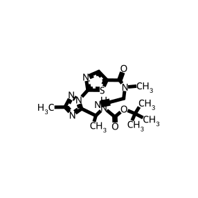 Cc1nc(C(C)NC(=O)OC(C)(C)C)n(-c2ncc(C(=O)N(C)CC#N)s2)n1